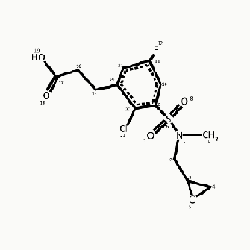 CN(CC1CO1)S(=O)(=O)c1cc(F)cc(CCC(=O)O)c1Cl